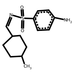 CC1CCC(/C=N\S(=O)(=O)c2ccc(N)cc2)CC1